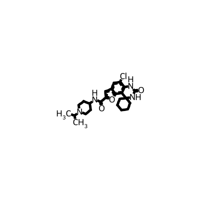 CC(C)N1CCC(NC(=O)c2cc3cc(Cl)c4c(c3o2)C2(CCCCC2)NC(=O)N4)CC1